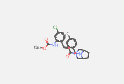 Cc1ccc(CN2C3CCC2CN(C(=O)/C=C/c2ccc(Cl)cc2NC(=O)OC(C)(C)C)C3)cc1